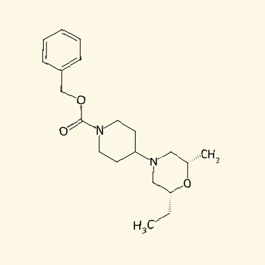 CC[C@@H]1CN(C2CCN(C(=O)OCc3ccccc3)CC2)C[C@H](C)O1